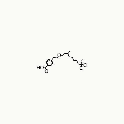 CC(=CCOCCc1ccc(C(=O)O)cc1)CCC=CCC(Cl)(Cl)Cl